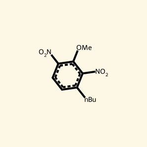 CCCCc1ccc([N+](=O)[O-])c(OC)c1[N+](=O)[O-]